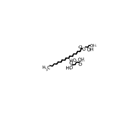 CCCCCCCCCCCCCCCCCC(=O)OCC(O)CO.O=C(O)CC(O)C(=O)O